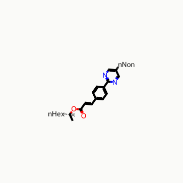 CCCCCCCCCc1cnc(-c2ccc(C=CC(=O)O[C@H](C)CCCCCC)cc2)nc1